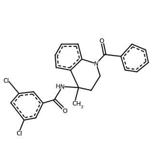 CC1(NC(=O)c2cc(Cl)cc(Cl)c2)CCN(C(=O)c2ccccc2)c2ccccc21